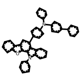 c1ccc(-c2ccc(N(c3ccccc3)c3ccc(-c4cc5c6ccccc6oc5c5c4c4ccccc4n5-c4ccccc4)cc3)cc2)cc1